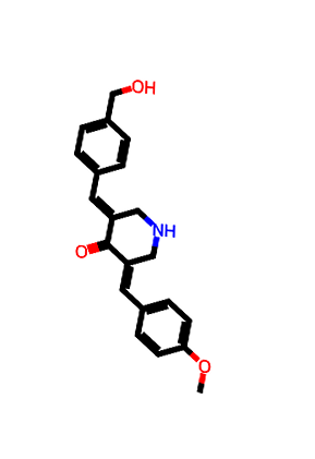 COc1ccc(/C=C2\CNC/C(=C\c3ccc(CO)cc3)C2=O)cc1